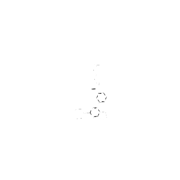 CN(C)CCCNC(=O)c1cccc(-c2nc(N3CCOCC3)nc3c2CCC3)c1